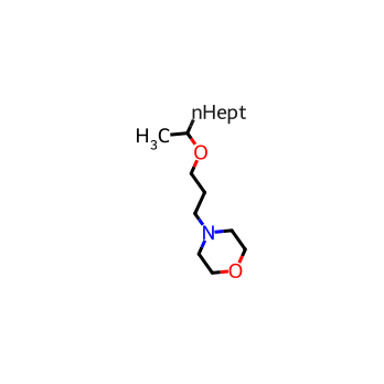 CCCCCCCC(C)OCCCN1CCOCC1